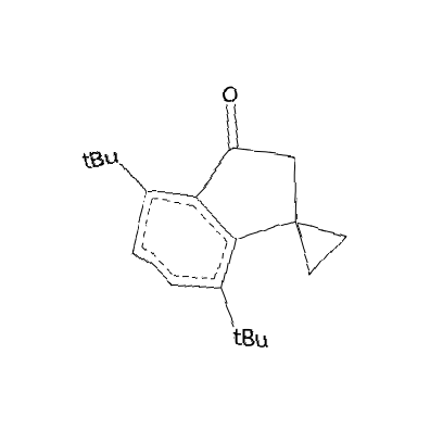 CC(C)(C)c1ccc(C(C)(C)C)c2c1C(=O)CC21CC1